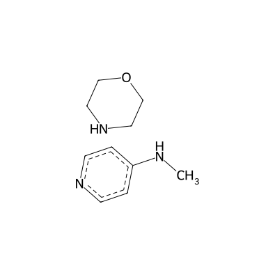 C1COCCN1.CNc1ccncc1